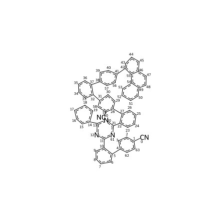 N#Cc1ccc(-c2ccccc2-c2nc(-c3ccccc3)nc(-c3ccccc3-c3ccc(-c4ccccc4-c4ccc(-c5cccc6ccc7ccccc7c56)cc4)cc3C#N)n2)cc1